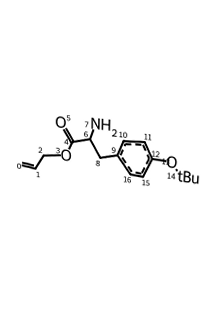 C=CCOC(=O)C(N)Cc1ccc(OC(C)(C)C)cc1